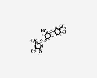 CCc1cn(C)c(SCc2ccc(Oc3ccc(Cl)c(C(F)(F)F)c3)c(C#N)c2)nc1=O